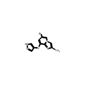 Cc1cn2cc(Br)cc(Oc3cn[nH]c3)c2n1